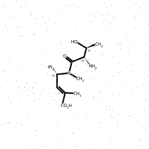 C/C(=C\[C@H](C(C)C)N(C)C(=O)[C@@H](N)[C@H](C)O)C(=O)O